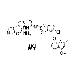 COc1cc(C)nc2c(OCc3c(Cl)ccc(N(C)C(=O)CNC(=O)Nc4cccc(-c5ccncc5)c4C(N)=O)c3Cl)cccc12.Cl.Cl